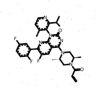 C=CC(=O)N1C[C@H](C)N(c2nc(=O)n(-c3c(C)ccnc3C(C)C)c3nc(-c4cc(F)ccc4F)c(F)cc23)C[C@H]1C